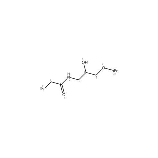 CC(C)CC(=O)NCC(O)COC(C)C